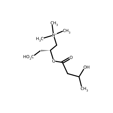 CC(O)CC(=O)O[C@H](CC(=O)O)C[N+](C)(C)C